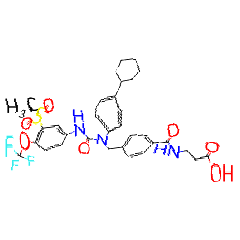 CS(=O)(=O)c1cc(NC(=O)N(Cc2ccc(C(=O)NCCC(=O)O)cc2)c2ccc(C3CCCCC3)cc2)ccc1OC(F)(F)F